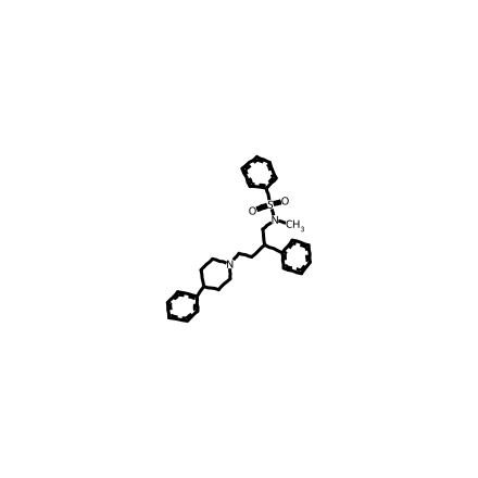 CN(CC(CCN1CCC(c2ccccc2)CC1)c1ccccc1)S(=O)(=O)c1ccccc1